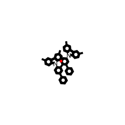 Cc1ccc2c(c1)c1cc(C)ccc1n2-c1ccc(-c2cc(-c3ccccc3)ccc2-n2c3ccc(C)cc3c3cc(C)ccc32)c(-c2ccccc2)c1